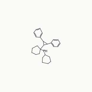 c1ccc(C2C(c3ccccc3)C2C2(PC3CCCCC3)CCCCC2)cc1